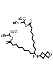 CCCCCCCCC(CCC)OC(=O)CCCCCCCC(CCCCCCCC(=O)OC(CCCCCCCC)CCCCCCCC)NC1CC2(COC2)C1